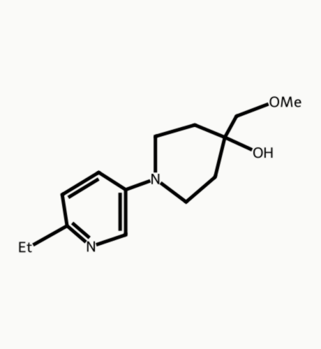 CCc1ccc(N2CCC(O)(COC)CC2)cn1